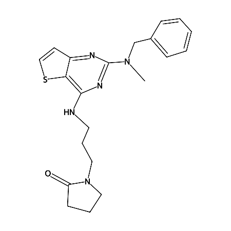 CN(Cc1ccccc1)c1nc(NCCCN2CCCC2=O)c2sccc2n1